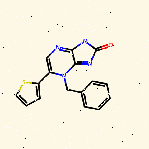 O=C1[N]C2=NC=C(c3cccs3)N(Cc3ccccc3)C2=N1